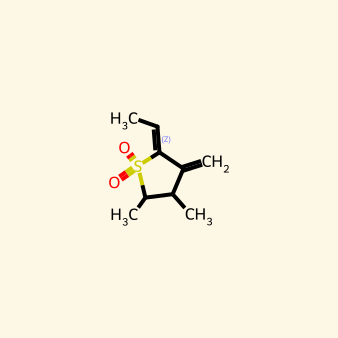 C=C1/C(=C/C)S(=O)(=O)C(C)C1C